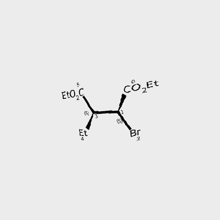 CCOC(=O)[C@@H](Br)[C@@H](CC)C(=O)OCC